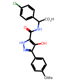 COc1ccc(-c2n[nH]c(C(=O)NC(C(=O)O)c3ccc(Cl)cc3)c2O)cc1